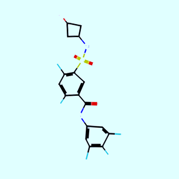 O=C(Nc1cc(F)c(F)c(F)c1)c1cc(S(=O)(=O)NC2CC(O)C2)c(F)cc1F